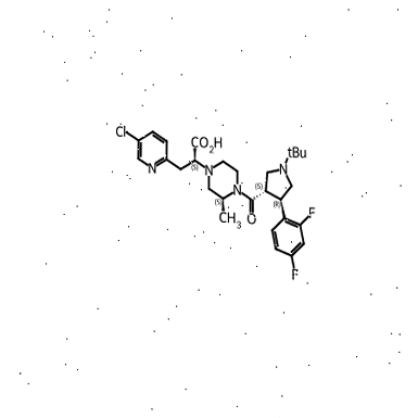 C[C@H]1CN([C@@H](Cc2ccc(Cl)cn2)C(=O)O)CCN1C(=O)[C@@H]1CN(C(C)(C)C)C[C@H]1c1ccc(F)cc1F